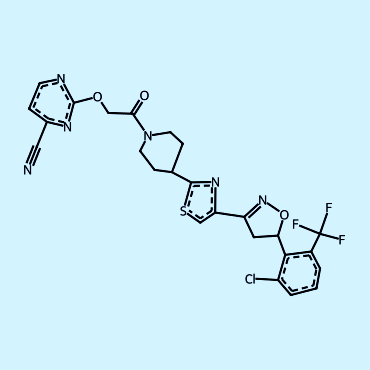 N#Cc1ccnc(OCC(=O)N2CCC(c3nc(C4=NOC(c5c(Cl)cccc5C(F)(F)F)C4)cs3)CC2)n1